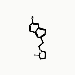 C[C@@H]1CCCN1CCc1ccc2cc(Br)ccc2c1